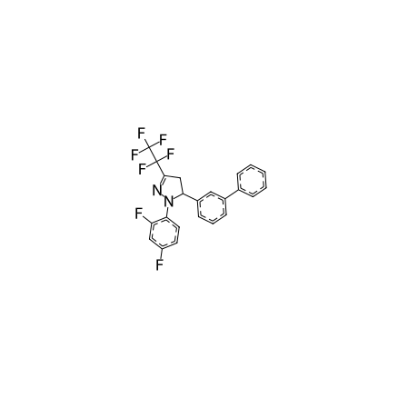 Fc1ccc(N2N=C(C(F)(F)C(F)(F)F)CC2c2cccc(-c3ccccc3)c2)c(F)c1